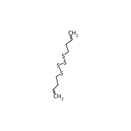 C=CCCSSSSCCC=C